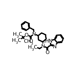 CCN(C(=O)c1nc2ccccc2[nH]1)[C@H]1CCCC(N(Cc2ccccc2)C(=O)OC(C)(C)C)C1